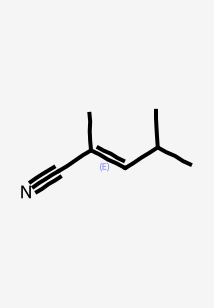 C/C(C#N)=C\C(C)C